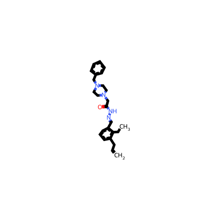 C=CCc1cccc(/C=N/NC(=O)CN2CCN(Cc3ccccc3)CC2)c1CC